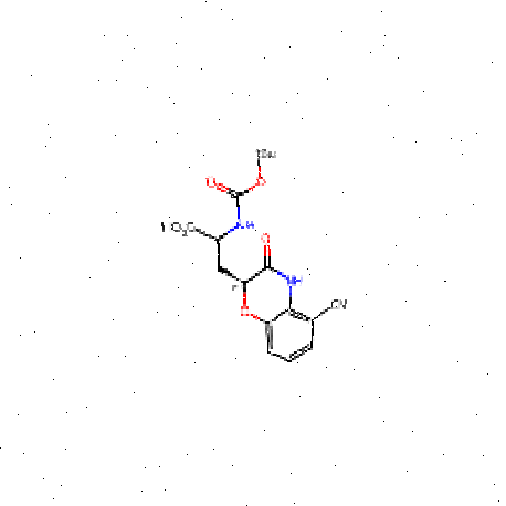 CC(C)(C)OC(=O)NC(C[C@@H]1Oc2cccc(C#N)c2NC1=O)C(=O)O